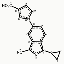 N#Cc1nn(C2CC2)c2ccc(-n3cc(C(=O)O)cn3)cc12